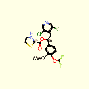 COc1cc([C@H](Cc2c(Cl)cncc2Cl)OC(=O)[C@H]2NCCS2)ccc1OC(F)F